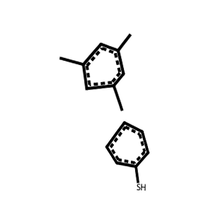 Cc1cc(C)cc(C)c1.Sc1ccccc1